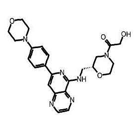 O=C(CO)N1CCO[C@H](CNc2nc(-c3ccc(N4CCOCC4)cc3)cc3nccnc23)C1